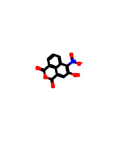 O=C1OC(=O)c2cc(O)c([N+](=O)[O-])c3cccc1c23